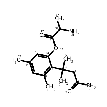 BC(=O)CC(C)(C)c1c(C)cc(C)cc1OC(=O)C(C)N